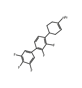 CCCC1=CCC(c2ccc(-c3cc(F)c(F)c(F)c3)c(F)c2F)CC1